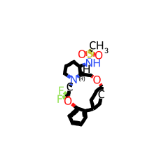 CS(=O)(=O)NC1CCCN2CC(F)(F)Oc3ccccc3C3CCC(CC3)OC[C@@H]12